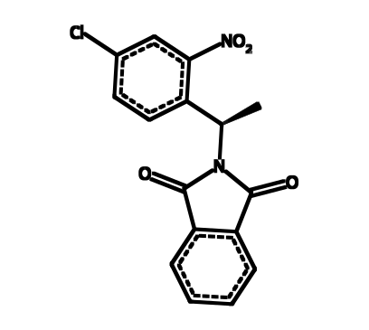 C[C@H](c1ccc(Cl)cc1[N+](=O)[O-])N1C(=O)c2ccccc2C1=O